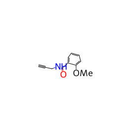 C#CCNC(=O)c1ccccc1OC